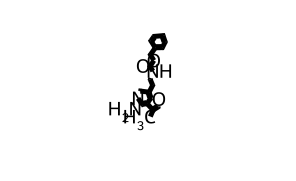 Cc1coc2c(CCNC(=O)OCc3ccccc3)cnc(N)c12